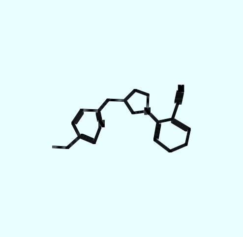 CCc1ccc(CC2CCN(C3=CCCC=C3C#N)C2)nc1